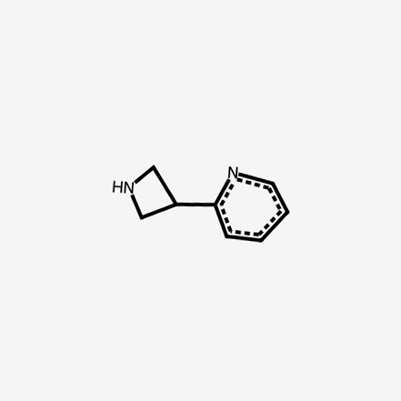 c1ccc(C2CNC2)nc1